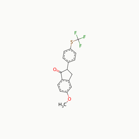 COc1ccc2c(c1)CC(c1ccc(SC(F)(F)F)cc1)C2=O